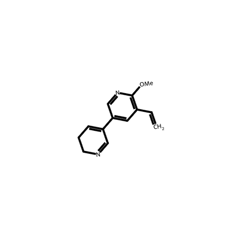 C=Cc1cc(C2=CCCN=C2)cnc1OC